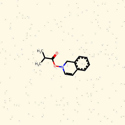 CC(C)C(=O)ON1C=Cc2ccccc2C1